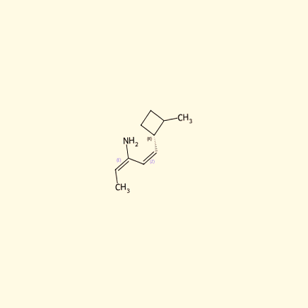 C/C=C(N)\C=C/[C@@H]1CCC1C